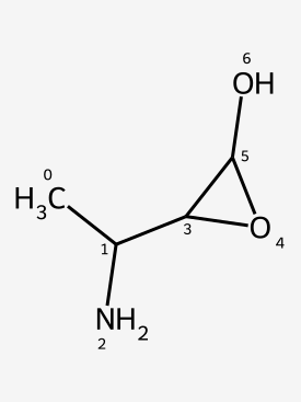 CC(N)C1OC1O